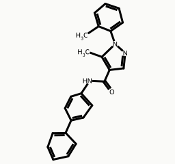 Cc1ccccc1-n1ncc(C(=O)Nc2ccc(-c3ccccc3)cc2)c1C